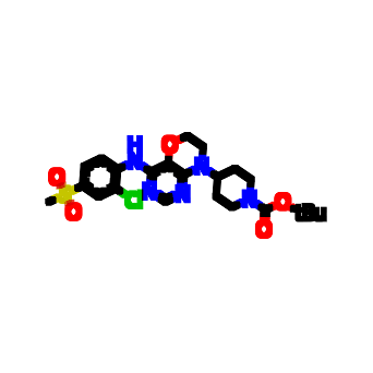 CC(C)(C)OC(=O)N1CCC(N2CCOc3c(Nc4ccc(S(C)(=O)=O)cc4Cl)ncnc32)CC1